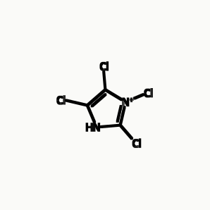 Clc1[nH]c(Cl)[n+](Cl)c1Cl